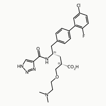 CN(C)CCOC[C@H](C[C@@H](Cc1ccc(-c2cc(Cl)ccc2F)cc1)NC(=O)c1c[nH]nn1)C(=O)O